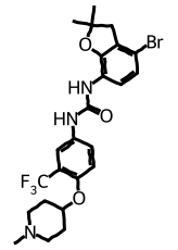 CN1CCC(Oc2ccc(NC(=O)Nc3ccc(Br)c4c3OC(C)(C)C4)cc2C(F)(F)F)CC1